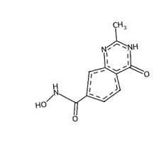 Cc1nc2cc(C(=O)NO)ccc2c(=O)[nH]1